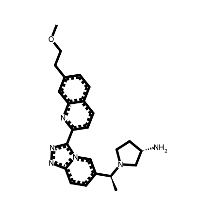 COCCc1ccc2ccc(-c3nnc4ccc([C@H](C)N5CC[C@H](N)C5)cn34)nc2c1